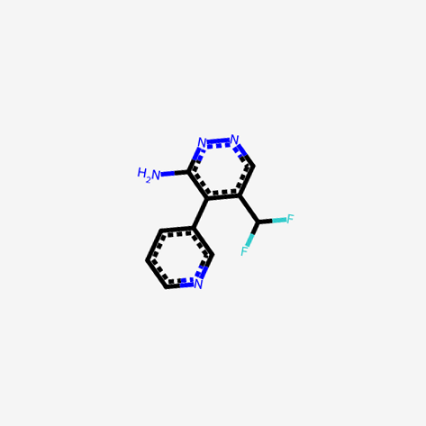 Nc1nncc(C(F)F)c1-c1cccnc1